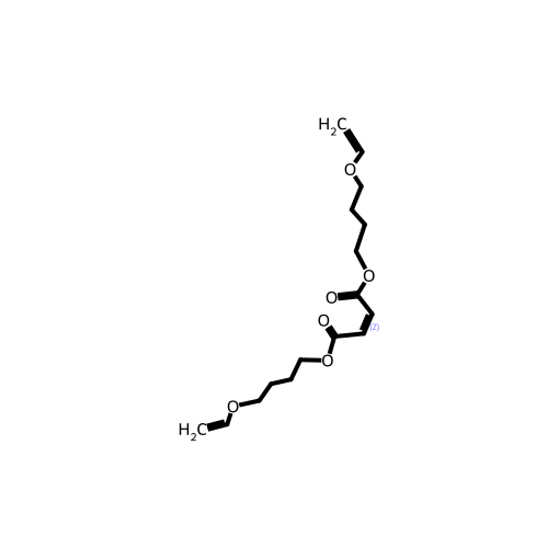 C=COCCCCOC(=O)/C=C\C(=O)OCCCCOC=C